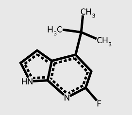 CC(C)(C)c1cc(F)nc2[nH]ccc12